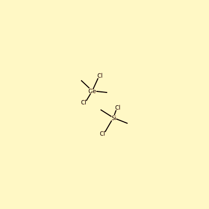 C[Si](C)(Cl)Cl.[CH3][Ge]([CH3])([Cl])[Cl]